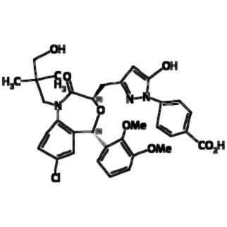 COc1cccc([C@H]2O[C@H](Cc3cc(O)n(-c4ccc(C(=O)O)cc4)n3)C(=O)N(CC(C)(C)CO)c3ccc(Cl)cc32)c1OC